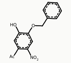 CC(=O)c1cc(O)c(OCc2ccccc2)cc1[N+](=O)[O-]